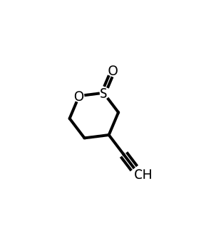 C#CC1CCOS(=O)C1